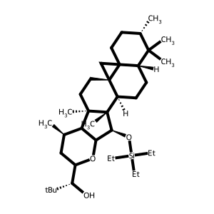 CC[Si](CC)(CC)O[C@H]1C2OC([C@H](O)C(C)(C)C)C[C@@H](C)C2[C@@]2(C)CC[C@@]34CC35CC[C@H](C)C(C)(C)[C@@H]5CC[C@H]4[C@]12C